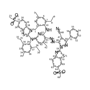 CCc1cc(C)cc(CC)c1Nc1nc(N(c2nc3ccc(S(C)(=O)=O)cc3s2)c2c(CC)cc(C)cc2CC)cc(C)c1/N=N/c1c(C#N)c(-c2ccccc2)nn1-c1nc2ccc(S(C)(=O)=O)cc2s1